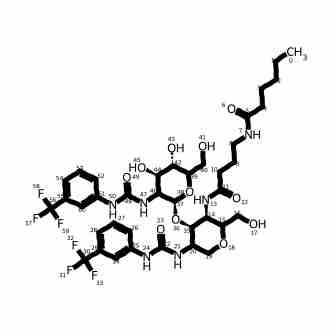 CCCCCC(=O)NCCCC(=O)N[C@H]1C(CO)OCC(NC(=O)Nc2cccc(C(F)(F)F)c2)[C@H]1O[C@@H]1OC(CO)[C@@H](O)[C@H](O)C1NC(=O)Nc1cccc(C(F)(F)F)c1